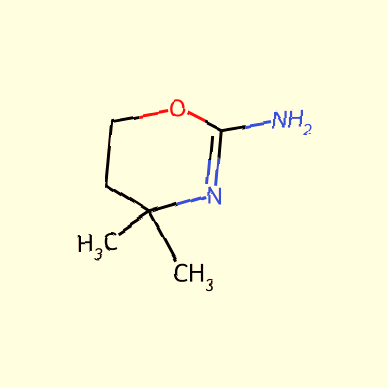 CC1(C)CCOC(N)=N1